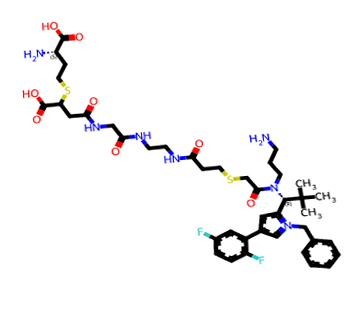 CC(C)(C)[C@H](c1cc(-c2cc(F)ccc2F)cn1Cc1ccccc1)N(CCCN)C(=O)CSCCC(=O)NCCNC(=O)CNC(=O)CC(SCC[C@H](N)C(=O)O)C(=O)O